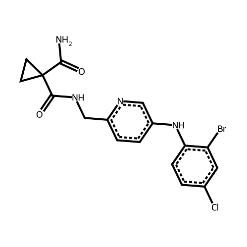 NC(=O)C1(C(=O)NCc2ccc(Nc3ccc(Cl)cc3Br)cn2)CC1